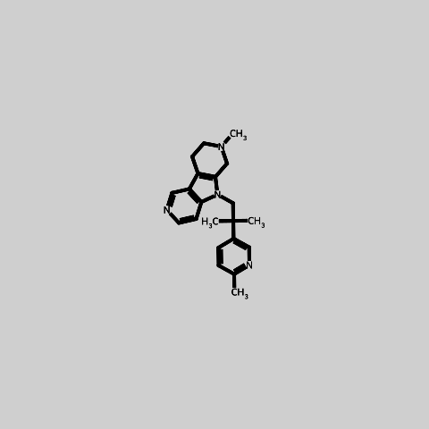 Cc1ccc(C(C)(C)Cn2c3c(c4cnccc42)CCN(C)C3)cn1